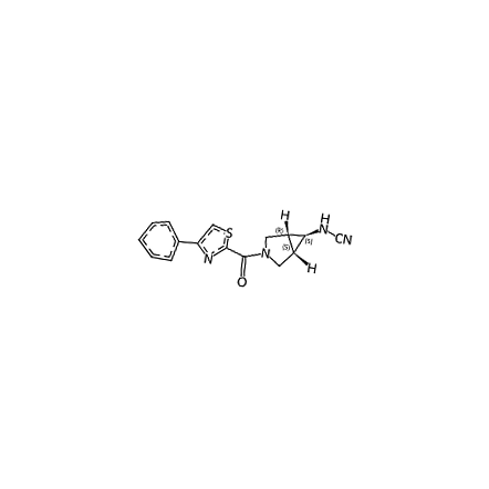 N#CN[C@H]1[C@@H]2CN(C(=O)c3nc(-c4ccccc4)cs3)C[C@@H]21